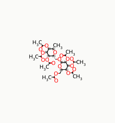 CC(=O)OC[C@H]1O[C@@H](OC[C@H]2O[C@@H](C)[C@H](OC(C)=O)[C@@H](OC(C)=O)[C@H]2OC(C)=O)[C@H](OC(C)=O)[C@@H](OC(C)=O)[C@H]1OC(C)=O